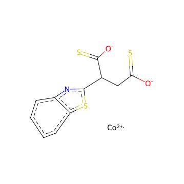 [Co+2].[O-]C(=S)CC(C([O-])=S)c1nc2ccccc2s1